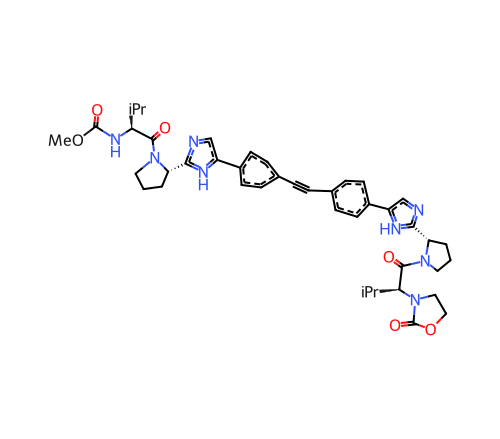 COC(=O)N[C@H](C(=O)N1CCC[C@H]1c1ncc(-c2ccc(C#Cc3ccc(-c4cnc([C@@H]5CCCN5C(=O)[C@H](C(C)C)N5CCOC5=O)[nH]4)cc3)cc2)[nH]1)C(C)C